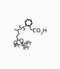 CC(CCC(=O)O[Si](C(C)C)(C(C)C)C(C)C)SSc1ccccc1CC(=O)O